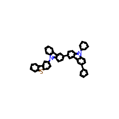 c1ccc(-c2ccc3c(c2)c2cc(-c4ccc5c(c4)c4ccccc4n5-c4ccc5sc6ccccc6c5c4)ccc2n3-c2ccccc2)cc1